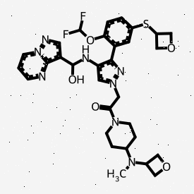 CN(C1CCN(C(=O)Cn2cc(NC(O)c3cnn4cccnc34)c(-c3cc(SC4COC4)ccc3OC(F)F)n2)CC1)C1COC1